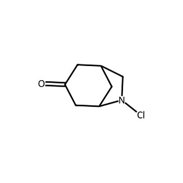 O=C1CC2CC(C1)N(Cl)C2